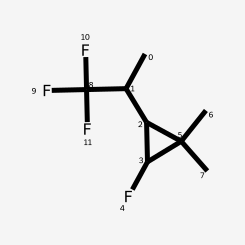 CC(C1C(F)C1(C)C)C(F)(F)F